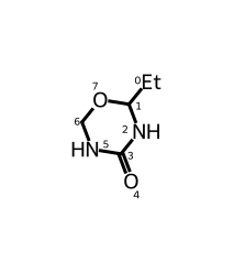 CCC1NC(=O)NCO1